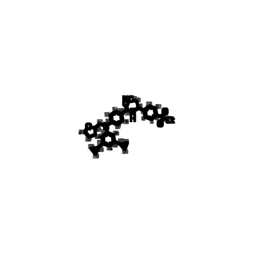 CCS(=O)(=O)c1ccc([C@H](CC#N)NC(=O)c2ccc(N(CC3CCCO3)c3cc(C4CC4)cc(C4CC4)c3)cc2)cc1